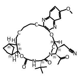 COc1ccc2nc3c(nc2c1)O[C@H]1CN(C(=O)[C@H](C(C)(C)C)NC(=O)O[C@@H]2[C@H]4CC[C@H](C4)[C@H]2CCCCC3)[C@H](C(C)=O)[C@@H]1CC#N